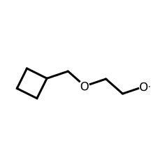 [O]CCOCC1CCC1